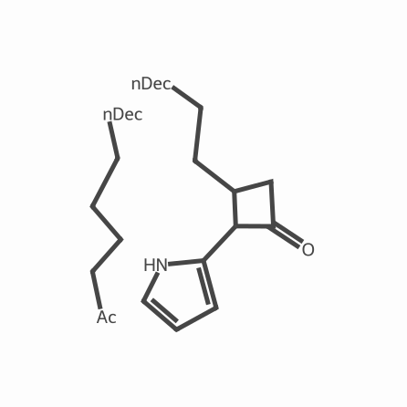 CCCCCCCCCCCCC1CC(=O)C1c1ccc[nH]1.CCCCCCCCCCCCCCC(C)=O